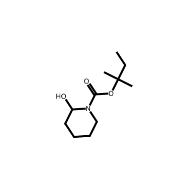 CCC(C)(C)OC(=O)N1CCCCC1O